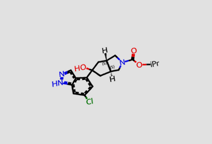 CC(C)OC(=O)N1C[C@H]2CC(O)(c3cc(Cl)cc4[nH]ncc34)C[C@@H]2C1